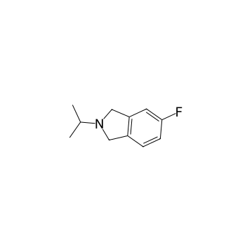 CC(C)N1Cc2ccc(F)cc2C1